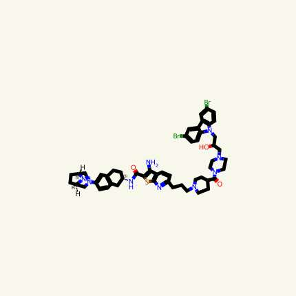 Nc1c(C(=O)N[C@H]2CCc3cc(N4C[C@H]5CC[C@@H](C4)N5)ccc3C2)sc2nc(CCCN3CCC(C(=O)N4CCN(CC(O)Cn5c6ccc(Br)cc6c6cc(Br)ccc65)CC4)CC3)ccc12